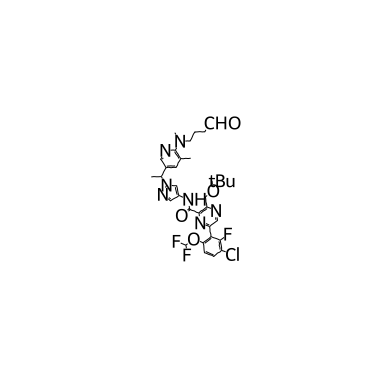 Cc1cc(C(C)n2cc(NC(=O)c3nc(-c4c(OC(F)F)ccc(Cl)c4F)cnc3COC(C)(C)C)cn2)cnc1N(C)CCCC=O